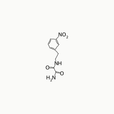 NC(=O)C(=O)NCCc1cccc([N+](=O)[O-])c1